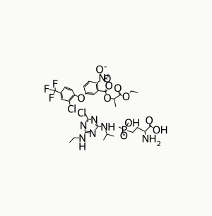 CCNc1nc(Cl)nc(NC(C)C)n1.CCOC(=O)C(C)OC(=O)c1cc(Oc2ccc(C(F)(F)F)cc2Cl)ccc1[N+](=O)[O-].CP(=O)(O)CCC(N)C(=O)O